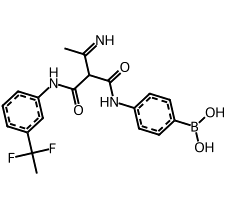 CC(=N)C(C(=O)Nc1ccc(B(O)O)cc1)C(=O)Nc1cccc(C(C)(F)F)c1